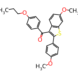 CCCOc1ccc(C(=O)c2c(-c3ccc(OC)cc3)sc3cc(OC)ccc23)cc1